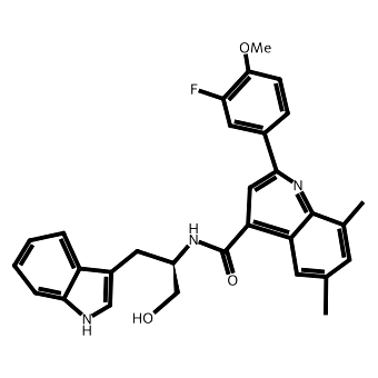 COc1ccc(-c2cc(C(=O)N[C@@H](CO)Cc3c[nH]c4ccccc34)c3cc(C)cc(C)c3n2)cc1F